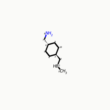 CBC[C@H]1CC[C@H](CN)CC1